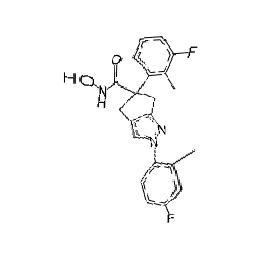 Cc1cc(F)ccc1-n1cc2c(n1)CC(C(=O)NO)(c1cccc(F)c1C)C2